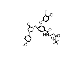 COc1ccc(C2CC(=O)N(Cc3ccc(C(=O)NC4CC(=O)N(C(C)(C)C)C4)cc3Oc3ccc(Cl)c(F)c3)C2)cc1